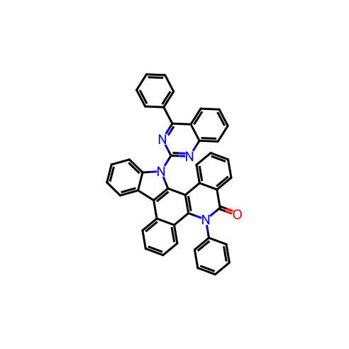 O=c1c2ccccc2c2c(c3ccccc3c3c4ccccc4n(-c4nc(-c5ccccc5)c5ccccc5n4)c32)n1-c1ccccc1